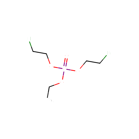 CC(C)(C)COP(=O)(OCCCl)OCCBr